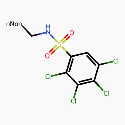 CCCCCCCCCCNS(=O)(=O)c1cc(Cl)c(Cl)c(Cl)c1Cl